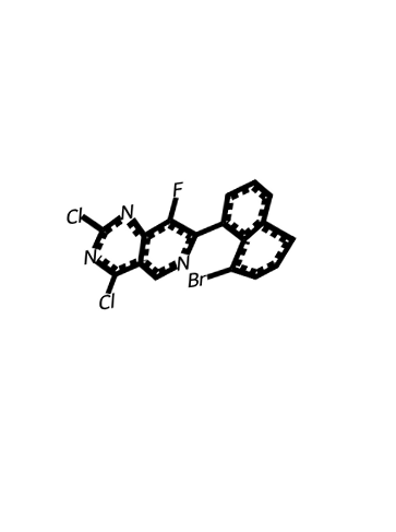 Fc1c(-c2cccc3cccc(Br)c23)ncc2c(Cl)nc(Cl)nc12